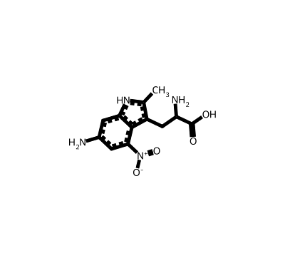 Cc1[nH]c2cc(N)cc([N+](=O)[O-])c2c1CC(N)C(=O)O